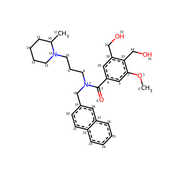 COc1cc(C(=O)N(CCCN2CCCCC2C)Cc2ccc3ccccc3c2)cc(CO)c1CO